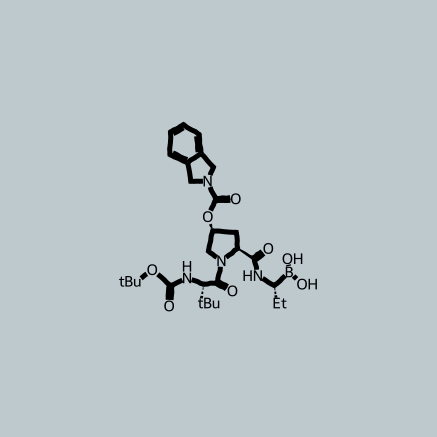 CC[C@H](NC(=O)[C@@H]1C[C@@H](OC(=O)N2Cc3ccccc3C2)CN1C(=O)[C@@H](NC(=O)OC(C)(C)C)C(C)(C)C)B(O)O